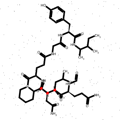 CCC(C)C(C)NC(=O)[C@H](Cc1ccc(O)cc1)NC(=O)CNC(=O)CCC(NC(=O)[C@H](CC(N)=O)NC(=O)[C@H](CCC(N)=O)NC=O)C(=O)N1CCCCC1C(=O)NC(C)CC(C)C